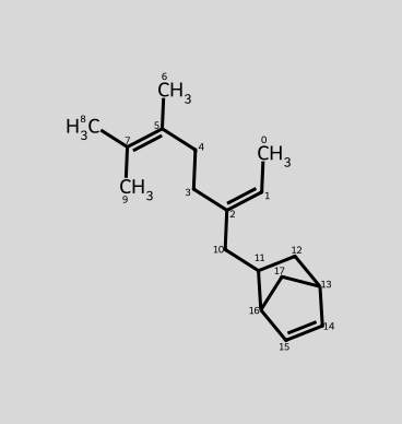 CC=C(CCC(C)=C(C)C)CC1CC2C=CC1C2